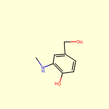 CNc1cc(CO)ccc1O